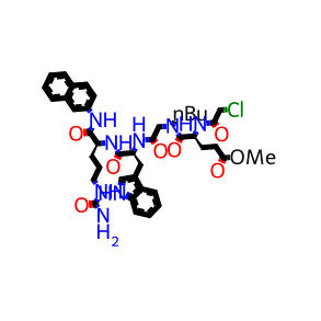 CCCCN(CC(=O)N[C@@H](Cc1c[nH]c2ccccc12)C(=O)N[C@@H](CCCNC(N)=O)C(=O)Nc1ccc2ccccc2c1)C(=O)[C@H](CCC(=O)OC)NC(=O)CCl